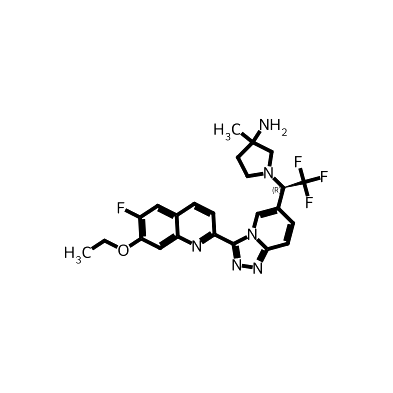 CCOc1cc2nc(-c3nnc4ccc([C@@H](N5CCC(C)(N)C5)C(F)(F)F)cn34)ccc2cc1F